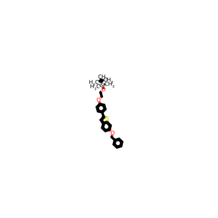 CC(C)(C)[Si](C)(C)OCCOc1ccc(-c2[c]c3ccc(OCc4ccccc4)cc3s2)cc1